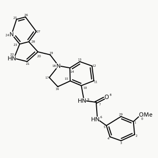 COc1cccc(NC(=O)Nc2cccc3c2CCN3Cc2c[nH]c3ncccc23)c1